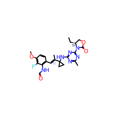 CC[C@H]1COC(=O)N1c1nc(C)nc(NC2(/C(C)=C/c3ccc(OC)c(F)c3NC=O)CC2)n1